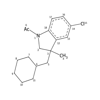 CC(=O)N1CC(C)(CC2CCCCC2)c2cc(Cl)ccc21